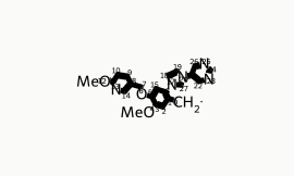 [CH2]c1cc(OC)c(OCc2ccc(OC)nc2)cc1N1C=CN(c2cncnc2)C1